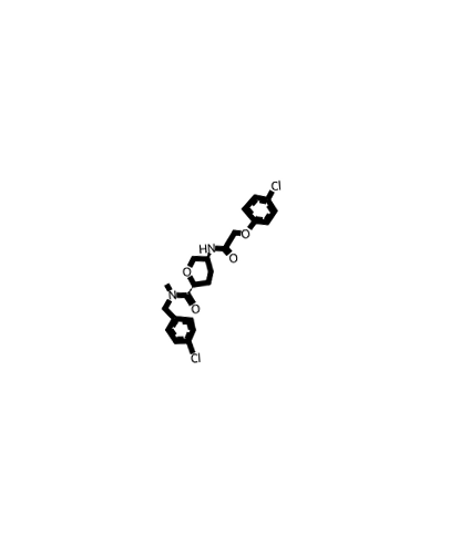 CN(Cc1ccc(Cl)cc1)C(=O)[C@H]1CC[C@H](NC(=O)COc2ccc(Cl)cc2)CO1